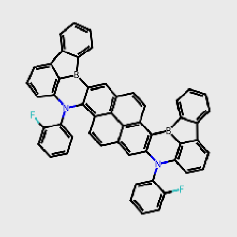 Fc1ccccc1N1c2cccc3c2B(c2ccccc2-3)c2c1cc1ccc3c4c(cc5ccc2c1c53)B1c2ccccc2-c2cccc(c21)N4c1ccccc1F